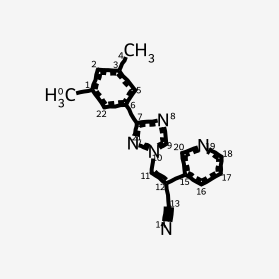 Cc1cc(C)cc(-c2ncn(/C=C(/C#N)c3cccnc3)n2)c1